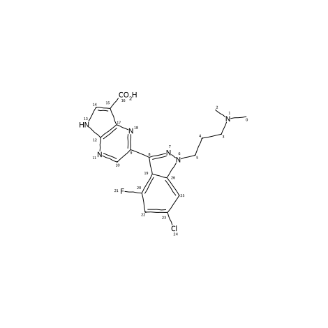 CN(C)CCCn1nc(-c2cnc3[nH]cc(C(=O)O)c3n2)c2c(F)cc(Cl)cc21